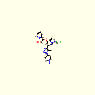 Cc1c(-c2cc(OC(CO)c3ccccn3)c3c(Cl)cnn3c2)nnn1C1CCNCC1.Cl